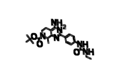 CCNC(=O)Nc1ccc(-c2nc(N)c3c(n2)C(C)N(C(=O)OC(C)(C)C)CC3)cc1